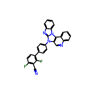 N#Cc1c(F)ccc(-c2ccc(-n3c4cnc5ccccc5c4n4c5ccccc5nc34)cc2)c1F